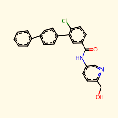 O=C(Nc1ccc(CO)nc1)c1ccc(Cl)c(-c2ccc(-c3ccccc3)cc2)c1